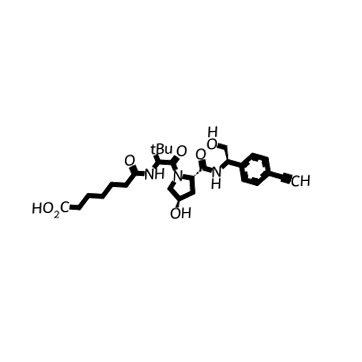 C#Cc1ccc([C@H](CO)NC(=O)[C@@H]2C[C@@H](O)CN2C(=O)C(NC(=O)CCCCCC(=O)O)C(C)(C)C)cc1